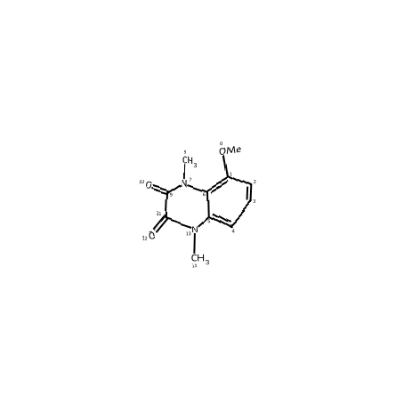 COc1cccc2c1n(C)c(=O)c(=O)n2C